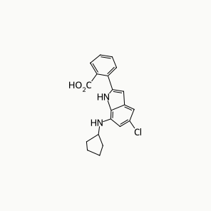 O=C(O)c1ccccc1-c1cc2cc(Cl)cc(NC3CCCC3)c2[nH]1